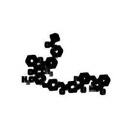 CC1CN(CC2CCN(CC(=O)N3CCN(C(=O)c4cc(Cc5n[nH]c(=O)c6ccccc56)ccc4F)CC3)CC2)CC(C)N1C(=O)[C@H](NC(=O)c1cccc([C@@H]2CCCN(C(=O)C34CC(C3)C4)C2)c1)C1CCCCC1